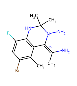 C/C(N)=C1\c2c(C)c(Br)cc(F)c2NC(C)(C)N1N